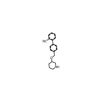 N#Cc1ccccc1-c1ccc(COC2CCCNC2)cc1